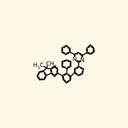 CC1(C)c2ccccc2-c2cc(-c3cccc(-c4cccc(-c5nc(-c6ccccc6)cc(-c6ccccc6)n5)c4)c3-c3ccccc3)ccc21